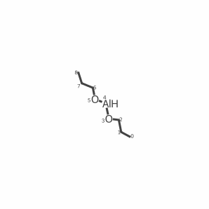 CCC[O][AlH][O]CCC